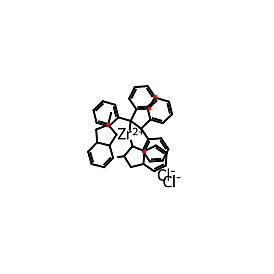 CC1CC2C=CC=CC2[CH]1[Zr+2]1([CH]2C(C)CC3C=CC=CC32)[C](c2ccccc2)(c2ccccc2)[C]1(c1ccccc1)c1ccccc1.[Cl-].[Cl-]